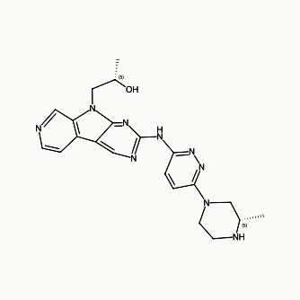 C[C@H](O)Cn1c2cnccc2c2cnc(Nc3ccc(N4CCN[C@@H](C)C4)nn3)nc21